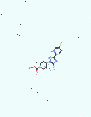 C[C@@H]1CN(C(=O)OC(C)(C)C)CC[C@@H]1c1[nH]c(-c2ccc(F)cn2)nc1Cl